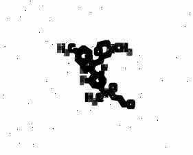 Cc1ccn2c(CC3CN(C)CCO3)c(-c3c(F)cc(N(C)C(=O)CCC=O)cc3F)nc2c1